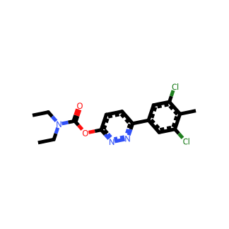 CCN(CC)C(=O)Oc1ccc(-c2cc(Cl)c(C)c(Cl)c2)nn1